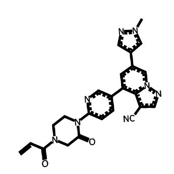 C=CC(=O)N1CCN(c2ccc(-c3cc(-c4cnn(C)c4)cn4ncc(C#N)c34)cn2)C(=O)C1